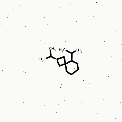 CC(C)C1CCCCC12CN(C(C)C)C2